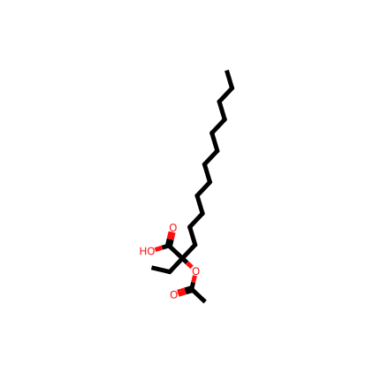 CCCCCCCCCCCCC(CC)(OC(C)=O)C(=O)O